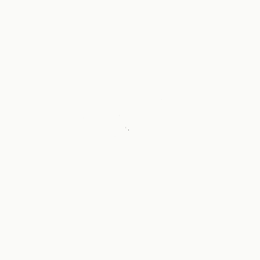 CN(C1c2ccccc2CC1CC1CCCCC1)P(c1ccccc1)c1ccccc1